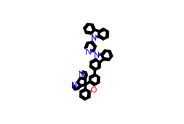 c1ccc2c(c1)Oc1ccc(-c3ccc4c(c3)c3ccccc3n4-c3cc(-n4c5ccccc5c5ccccc54)ccn3)cc1C21c2cccnc2-c2ncccc21